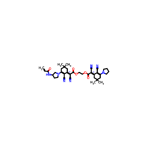 C=CC(=O)NC1CCN(C2=C(C#N)/C(=C(\C#N)C(=O)OCCOC(=O)/C(C#N)=C3\CC(C)(C)CC(N4CCCC4)=C3C#N)CC(C)(C)C2)C1